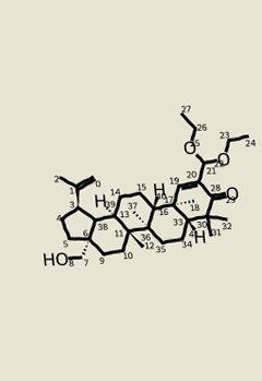 C=C(C)[C@@H]1CC[C@]2(CO)CC[C@]3(C)[C@H](CC[C@@H]4[C@@]5(C)C=C(C(OCC)OCC)C(=O)C(C)(C)[C@@H]5CC[C@]43C)C12